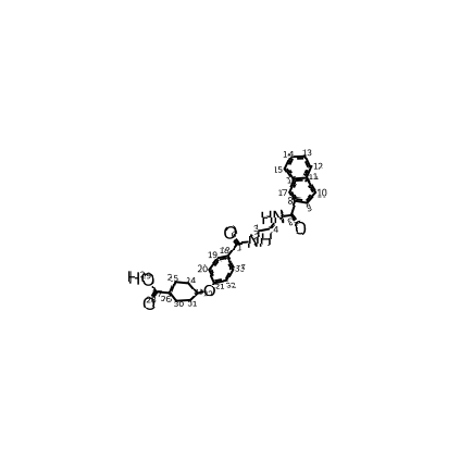 O=C(NCCNC(=O)c1ccc2ccccc2c1)c1ccc(OC2CCC(C(=O)O)CC2)cc1